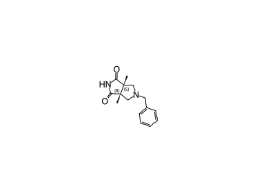 C[C@@]12CN(Cc3ccccc3)C[C@]1(C)C(=O)NC2=O